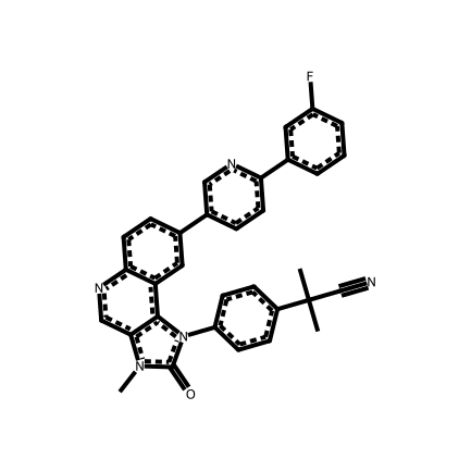 Cn1c(=O)n(-c2ccc(C(C)(C)C#N)cc2)c2c3cc(-c4ccc(-c5cccc(F)c5)nc4)ccc3ncc21